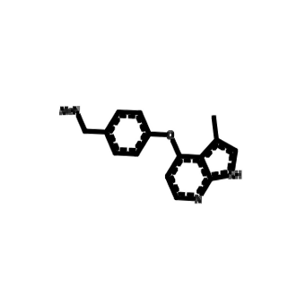 CNCc1ccc(Oc2ccnc3[nH]cc(C)c23)cc1